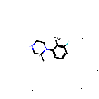 COc1c(F)cccc1N1CCNC[C@@H]1C